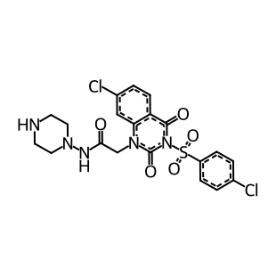 O=C(Cn1c(=O)n(S(=O)(=O)c2ccc(Cl)cc2)c(=O)c2ccc(Cl)cc21)NN1CCNCC1